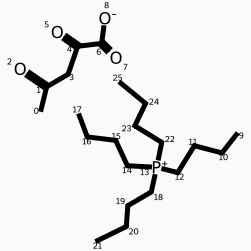 CC(=O)CC(=O)C(=O)[O-].CCCC[P+](CCCC)(CCCC)CCCC